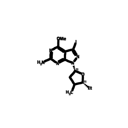 CC[C@H]1O[C@@H](n2nc(I)c3c(OC)nc(N)nc32)CC1C